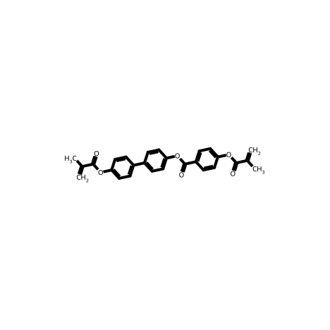 C=C(C)C(=O)Oc1ccc(C(=O)Oc2ccc(-c3ccc(OC(=O)C(=C)C)cc3)cc2)cc1